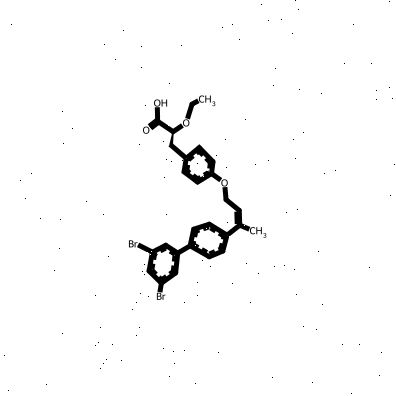 CCO[C@@H](Cc1ccc(OC/C=C(/C)c2ccc(-c3cc(Br)cc(Br)c3)cc2)cc1)C(=O)O